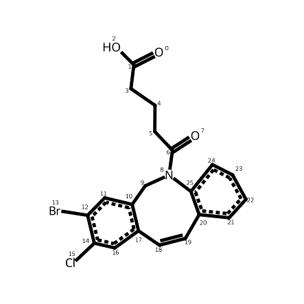 O=C(O)CCCC(=O)N1Cc2cc(Br)c(Cl)cc2C=Cc2ccccc21